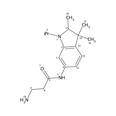 CC(C)N1c2cc(NC(=O)CCN)ccc2C(C)(C)C1C